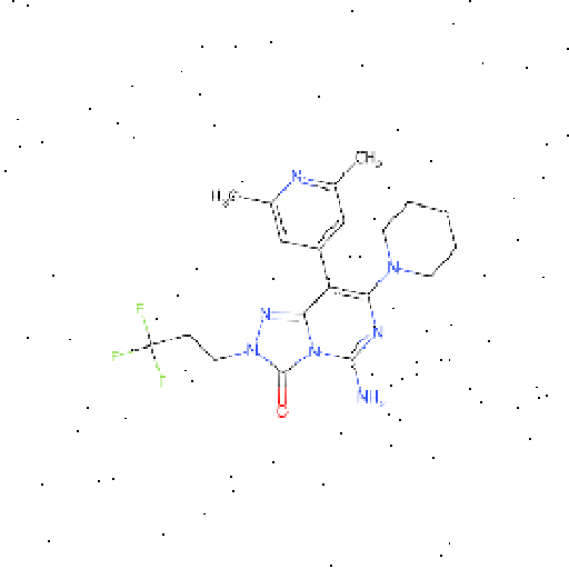 Cc1cc(-c2c(N3CCCCC3)nc(N)n3c(=O)n(CCC(F)(F)F)nc23)cc(C)n1